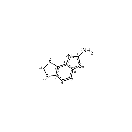 Nc1nc2c3c(ccc2s1)SCS3